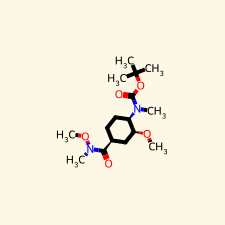 CO[C@H]1C[C@@H](C(=O)N(C)OC)CC[C@H]1N(C)C(=O)OC(C)(C)C